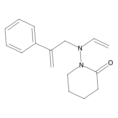 C=CN(CC(=C)c1ccccc1)N1CCCCC1=O